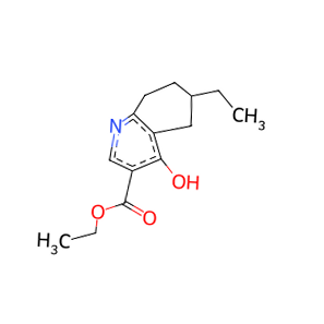 CCOC(=O)c1cnc2c(c1O)CC(CC)CC2